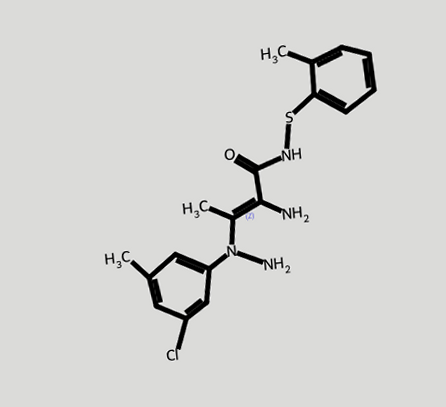 C/C(=C(/N)C(=O)NSc1ccccc1C)N(N)c1cc(C)cc(Cl)c1